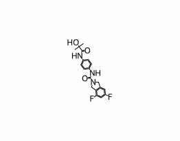 CC(C)(O)C(=O)Nc1ccc(NC(=O)N2Cc3cc(F)cc(F)c3C2)cc1